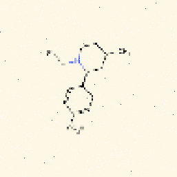 CC(C)CN1CCC(C)C[C@H]1C1C=CC(C(=O)O)=CC1